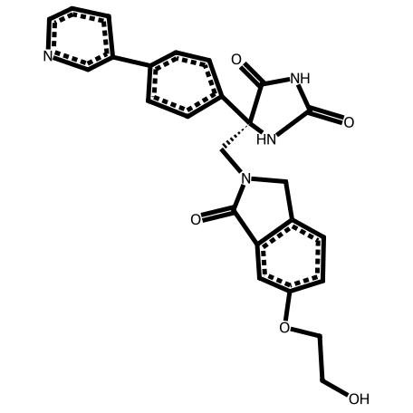 O=C1NC(=O)[C@](CN2Cc3ccc(OCCO)cc3C2=O)(c2ccc(-c3cccnc3)cc2)N1